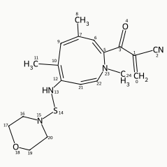 C=C(C#N)C(=O)c1cc(C)cc(C)c(NSN2CCOCC2)ccn1C